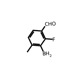 Bc1c(C)ccc(C=O)c1F